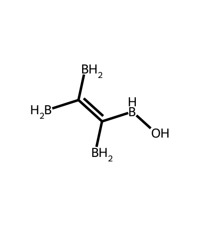 BC(B)=C(B)BO